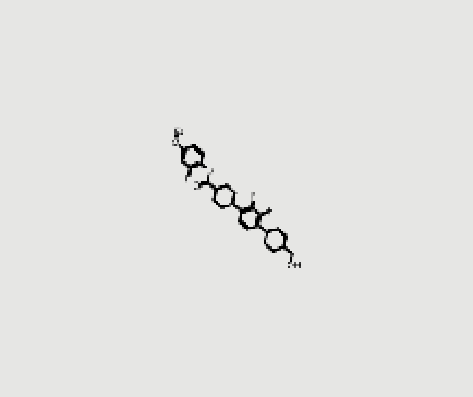 CCOc1ccc(OC(=O)C2CCC(c3ccc(C4CCC(CO)CC4)c(F)c3F)CC2)c(F)c1